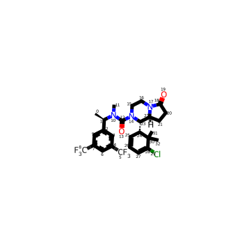 C[C@H](c1cc(C(F)(F)F)cc(C(F)(F)F)c1)N(C)C(=O)N1CCN2C(=O)CC[C@H]2[C@@H]1C1C=CC=C(Cl)C1(C)C